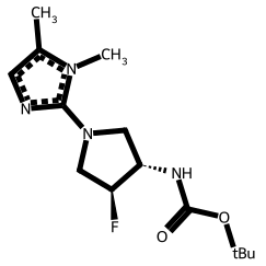 Cc1cnc(N2C[C@H](NC(=O)OC(C)(C)C)[C@@H](F)C2)n1C